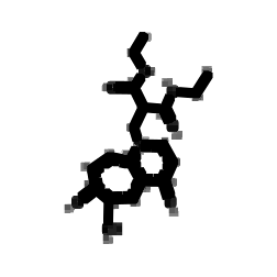 CCOC(=O)C(Cn1ccc(=O)c2cc(O)c(=O)ccc21)C(=O)OCC